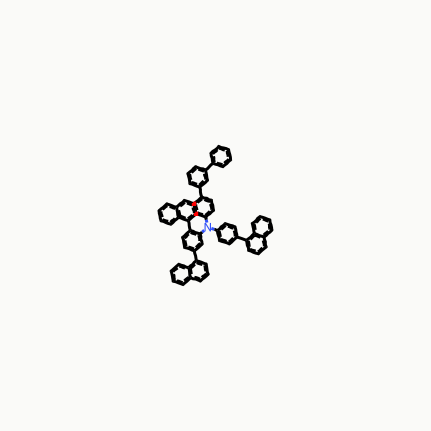 c1ccc(-c2cccc(-c3ccc(N(c4ccc(-c5cccc6ccccc56)cc4)c4cc(-c5cccc6ccccc56)ccc4-c4cccc5ccccc45)cc3)c2)cc1